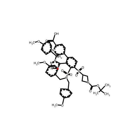 COc1ccc(CN(Cc2ccc(OC)cc2)S(=O)(=O)c2c(S(=O)(=O)C3CN(C(=O)OC(C)(C)C)C3)ccc(-c3ccc(C(=O)O)nc3N)c2-c2nnnn2Cc2ccc(OC)cc2)cc1